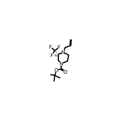 C=CCN1CCN(C(=O)OC(C)(C)C)C[C@@H]1C(F)(F)F